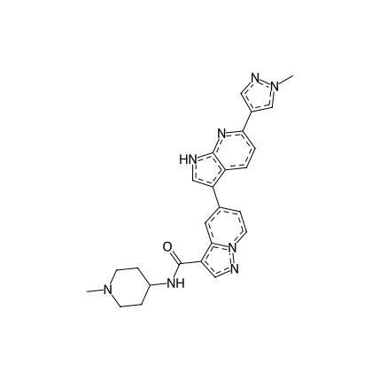 CN1CCC(NC(=O)c2cnn3ccc(-c4c[nH]c5nc(-c6cnn(C)c6)ccc45)cc23)CC1